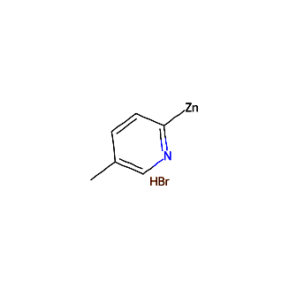 Br.Cc1cc[c]([Zn])nc1